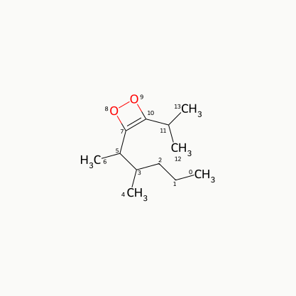 CCCC(C)C(C)c1ooc1C(C)C